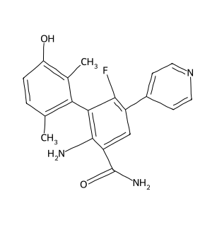 Cc1ccc(O)c(C)c1-c1c(N)c(C(N)=O)cc(-c2ccncc2)c1F